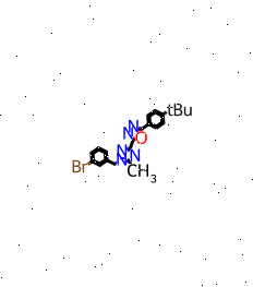 Cc1nc(-c2nnc(-c3ccc(C(C)(C)C)cc3)o2)nn1Cc1cccc(Br)c1